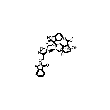 COC(=O)[C@@H]1[C@H]2C[C@@H]([C@@]3(CCn4cc(CON5C(=O)c6ccccc6C5=O)nn4)C(=O)NC4=CC=CCC43)N(C#N)C[C@@H]2CC[C@@H]1O